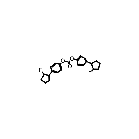 O=C(Oc1ccc(C2CCCC2F)cc1)Oc1ccc(C2CCCC2F)cc1